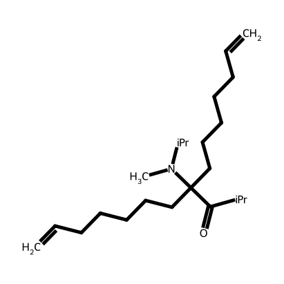 C=CCCCCCC(CCCCCC=C)(C(=O)C(C)C)N(C)C(C)C